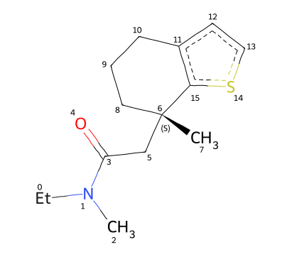 CCN(C)C(=O)C[C@]1(C)CCCc2ccsc21